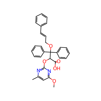 COc1cc(C)nc(OC(C(=O)O)C(OC/C=C/c2ccccc2)(c2ccccc2)c2ccccc2)n1